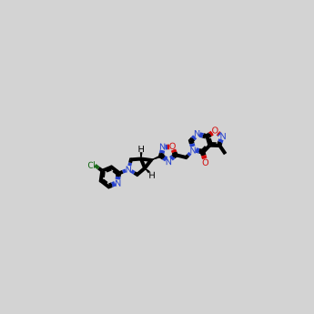 Cc1noc2ncn(Cc3nc([C@H]4[C@@H]5CN(c6cc(Cl)ccn6)C[C@@H]54)no3)c(=O)c12